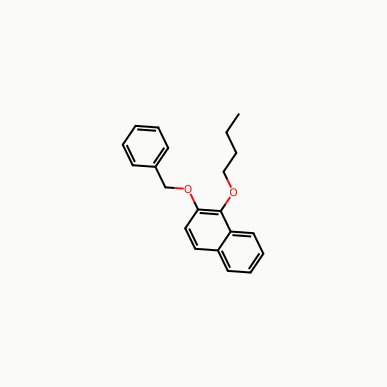 CCCCOc1c(OCc2ccccc2)ccc2ccccc12